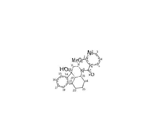 COc1ncccc1C(=O)N1CCC(O)(c2ccccc2)C2CCCCC21